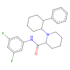 O=C(Nc1cc(F)cc(F)c1)C1C[CH]CCN1C1CCCCC1c1ccccc1